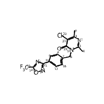 Cc1nc(C)n(Cc2ccc(-c3noc(C(F)(F)F)n3)cc2)c(=O)c1Cl